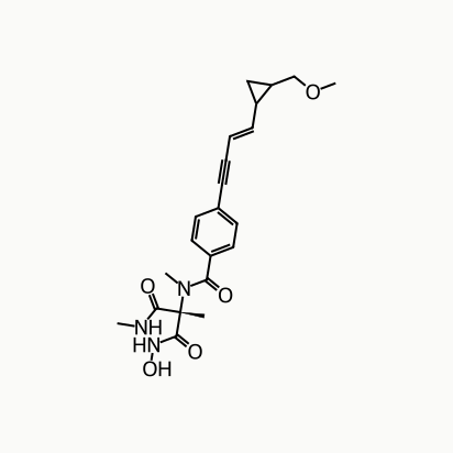 CNC(=O)[C@@](C)(C(=O)NO)N(C)C(=O)c1ccc(C#CC=CC2CC2COC)cc1